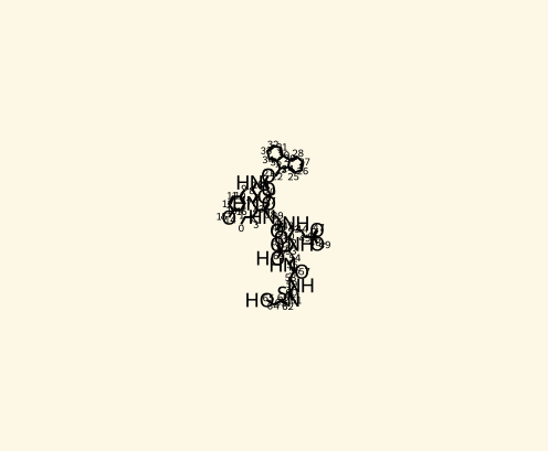 CC[C@H](C)[C@H](NC(=O)[C@H](Cc1ccc(OC)cc1)NC(=O)OCC1c2ccccc2-c2ccccc21)C(=O)NCC(=O)N[C@@H](CCC(=O)OC)C(=O)N[C@@H](CNC(=O)CNc1ncc(CO)s1)C(=O)O